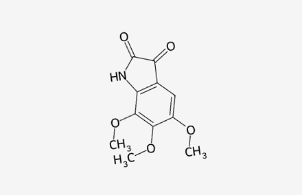 COc1cc2c(c(OC)c1OC)NC(=O)C2=O